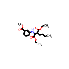 CCCCC(C(=O)OCC)=C(Nc1cccc(C(=O)OC)c1)C(=O)OCC